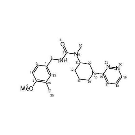 COc1ccc(CNC(=O)N(C)C2CCCN(c3cccnn3)C2)cc1F